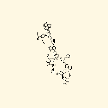 C=C(F)C(=O)N1CCN(c2nc(OC[C@@H]3CCCN3CCO)nc3c2CCN(c2cc(C4C[C@@H](COc5nc6c(c(N7CCN(C(=O)C(=C)F)[C@@H](CC#N)C7)n5)CCN(c5ccc(C7C[C@@H](COc8nc9c(c(N%10CCN(C(=O)C(=C)F)[C@@H](CC#N)C%10)n8)CCN(c8cccc%10ccnc(Cl)c8%10)C9)N(C)C7)c7cccc(C)c57)C6)N(Cc5ccccc5)C4)cc4cccc(C)c24)C3)C[C@@H]1CC#N